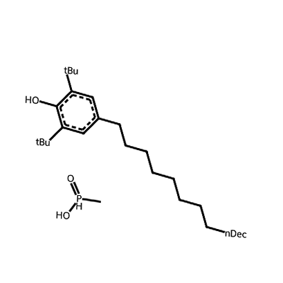 CCCCCCCCCCCCCCCCCCc1cc(C(C)(C)C)c(O)c(C(C)(C)C)c1.C[PH](=O)O